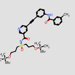 Cc1cccc(C(=O)Nc2cccc(C#Cc3cncc(C(=O)N=S(=O)(CCCO[Si](C)(C)C(C)(C)C)CCCO[Si](C)(C)C(C)(C)C)c3)c2)c1